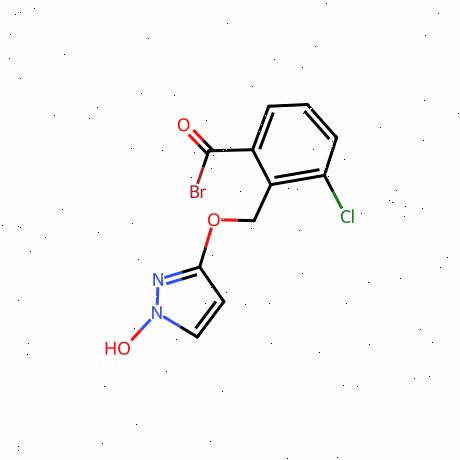 O=C(Br)c1cccc(Cl)c1COc1ccn(O)n1